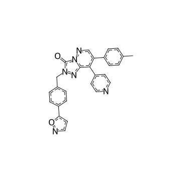 Cc1ccc(-c2cnn3c(=O)n(Cc4ccc(-c5ccno5)cc4)nc3c2-c2ccncc2)cc1